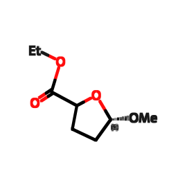 CCOC(=O)C1CC[C@@H](OC)O1